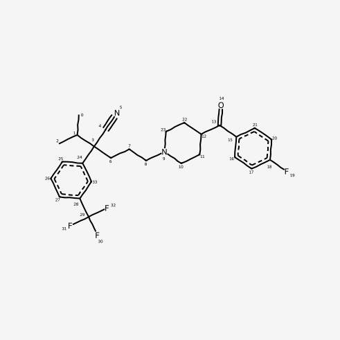 CC(C)C(C#N)(CCCN1CCC(C(=O)c2ccc(F)cc2)CC1)c1cccc(C(F)(F)F)c1